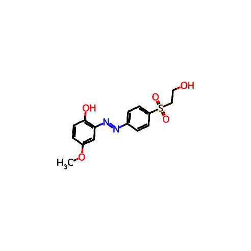 COc1ccc(O)c(N=Nc2ccc(S(=O)(=O)CCO)cc2)c1